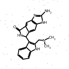 CN(C)Cc1[nH]c2ccccc2c1C1NC(=O)c2cc3nc(N)[nH]c3cc21